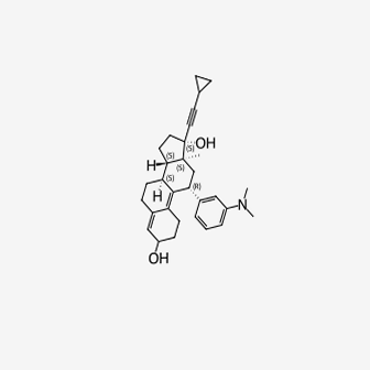 CN(C)c1cccc([C@H]2C[C@@]3(C)[C@@H](CC[C@@]3(O)C#CC3CC3)[C@@H]3CCC4=CC(O)CCC4=C32)c1